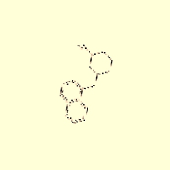 NC1CCCC(Cc2cccc3ccccc23)C1